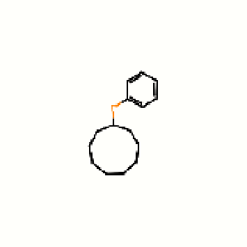 c1ccc([P]C2CCCCCCCC2)cc1